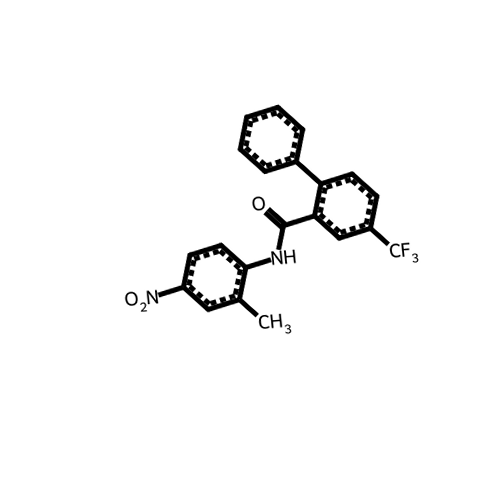 Cc1cc([N+](=O)[O-])ccc1NC(=O)c1cc(C(F)(F)F)ccc1-c1ccccc1